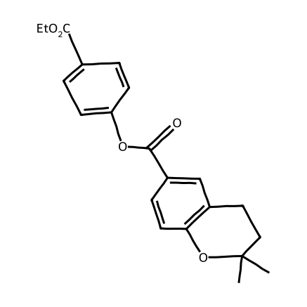 CCOC(=O)c1ccc(OC(=O)c2ccc3c(c2)CCC(C)(C)O3)cc1